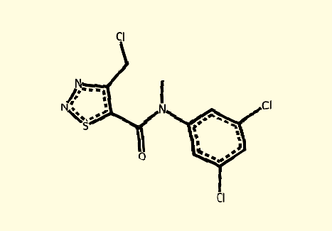 CN(C(=O)c1snnc1CCl)c1cc(Cl)cc(Cl)c1